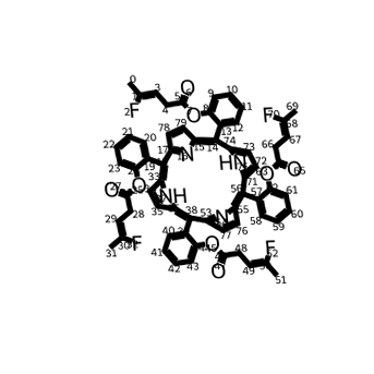 CC(F)=CCC(=O)Oc1ccccc1-c1c2nc(c(-c3ccccc3OC(=O)CC=C(C)F)c3ccc([nH]3)c(-c3ccccc3OC(=O)CC=C(C)F)c3nc(c(-c4ccccc4OC(=O)CC=C(C)F)c4ccc1[nH]4)C=C3)C=C2